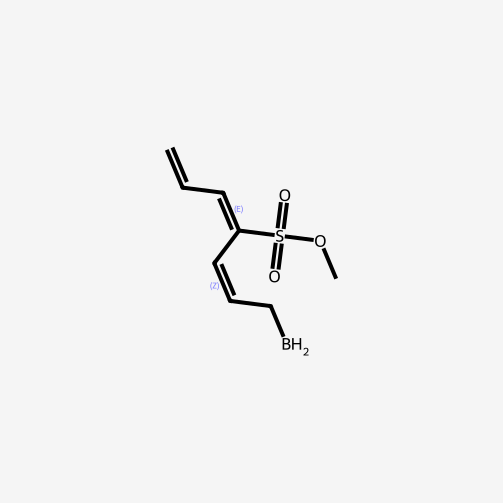 BC/C=C\C(=C/C=C)S(=O)(=O)OC